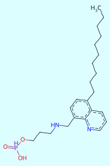 CCCCCCCCCCc1ccc(CNCCCO[PH](=O)O)c2ncccc12